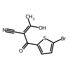 CC(O)=C(C#N)C(=O)c1ccc(Br)s1